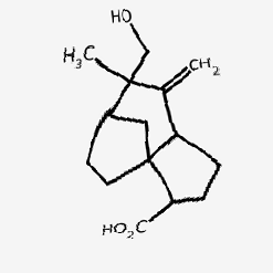 C=C1C2CCC(C(=O)O)C23CCC(C3)C1(C)CO